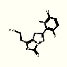 CNCCc1[nH]c(=S)n2c1CC(c1c(F)ccc(Cl)c1F)C2